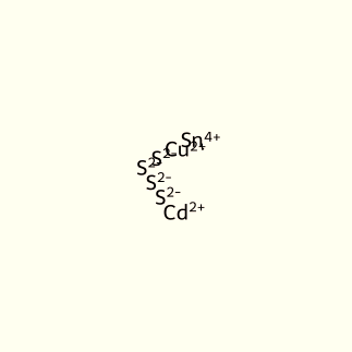 [Cd+2].[Cu+2].[S-2].[S-2].[S-2].[S-2].[Sn+4]